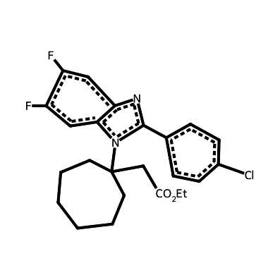 CCOC(=O)CC1(n2c(-c3ccc(Cl)cc3)nc3cc(F)c(F)cc32)CCCCCC1